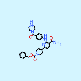 NC(=O)c1ccc(C2=CCN(C(=O)OCc3ccccc3)CC2)nc1Nc1ccc(C(=O)N2CCNCC2)cc1